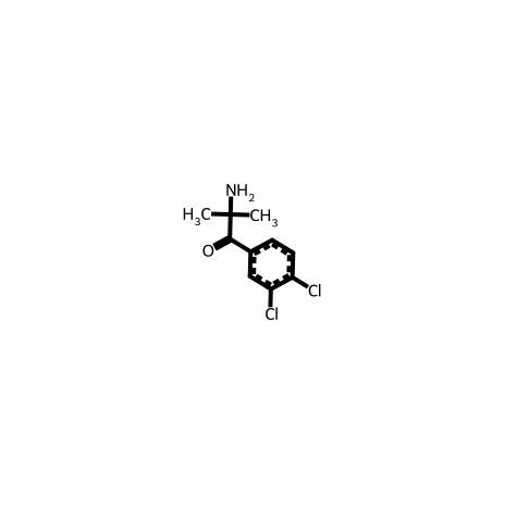 CC(C)(N)C(=O)c1ccc(Cl)c(Cl)c1